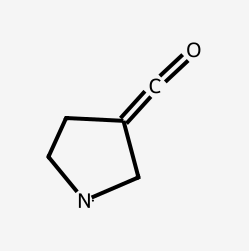 O=C=C1CC[N]C1